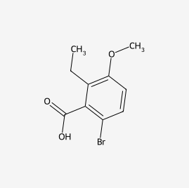 CCc1c(OC)ccc(Br)c1C(=O)O